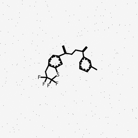 C=C(CCC(=C)c1ccc2c(c1)SC(F)(F)C(F)(F)C2)c1cccc(C)c1